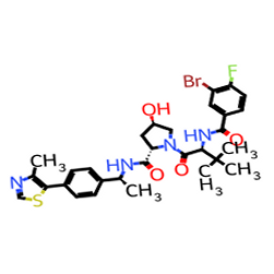 Cc1ncsc1-c1ccc([C@H](C)NC(=O)[C@@H]2C[C@@H](O)CN2C(=O)[C@@H](NC(=O)c2ccc(F)c(Br)c2)C(C)(C)C)cc1